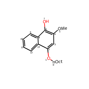 CCCCCCCCOc1cc(OC)c(O)c2ccccc12